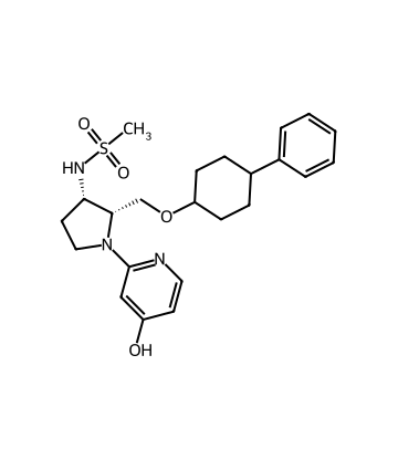 CS(=O)(=O)N[C@H]1CCN(c2cc(O)ccn2)[C@H]1COC1CCC(c2ccccc2)CC1